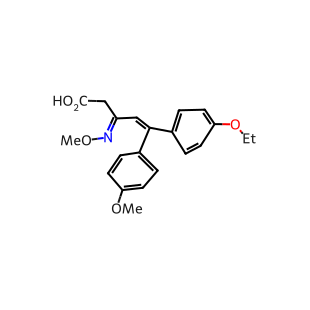 CCOc1ccc(C(=CC(CC(=O)O)=NOC)c2ccc(OC)cc2)cc1